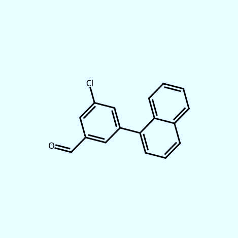 O=Cc1cc(Cl)cc(-c2cccc3ccccc23)c1